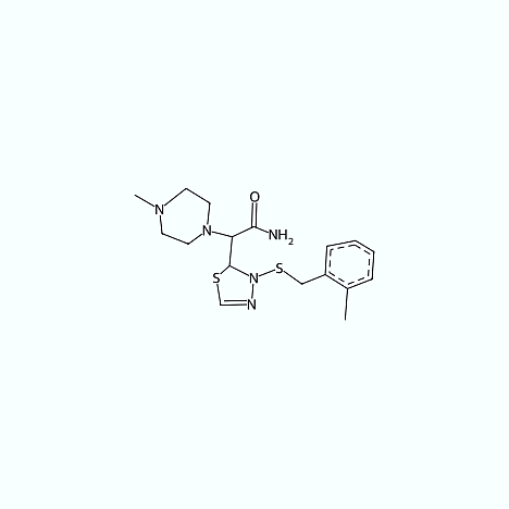 Cc1ccccc1CSN1N=CSC1C(C(N)=O)N1CCN(C)CC1